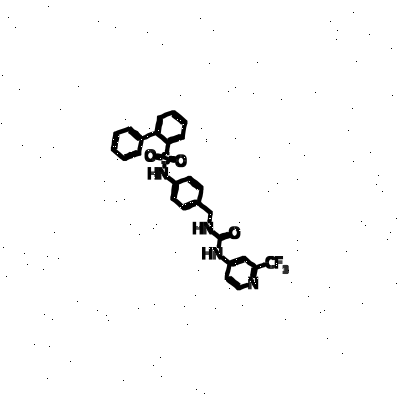 O=C(NCc1ccc(NS(=O)(=O)c2ccccc2-c2ccccc2)cc1)Nc1ccnc(C(F)(F)F)c1